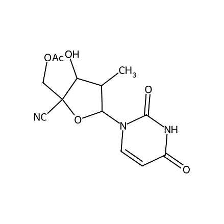 CC(=O)OCC1(C#N)OC(n2ccc(=O)[nH]c2=O)C(C)C1O